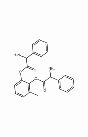 Cc1cccc(OC(=O)C(N)c2ccccc2)c1OC(=O)C(N)c1ccccc1